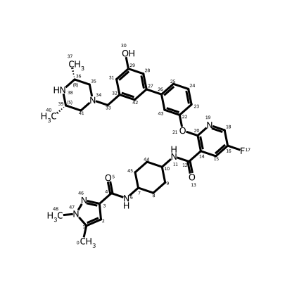 Cc1cc(C(=O)NC2CCC(NC(=O)c3cc(F)cnc3Oc3cccc(-c4cc(O)cc(CN5C[C@@H](C)N[C@@H](C)C5)c4)c3)CC2)nn1C